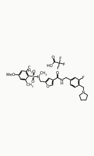 COc1cc(C)c(S(=O)(=O)N(C)Cc2cc(C(=O)NCc3ccc(CN4CCCC4)c(F)c3)co2)c(C)c1.O=C(O)C(F)(F)F